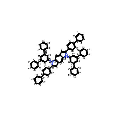 c1ccc(-c2ccc(-c3cc4cc5c(cc(-c6ccc(-c7ccccc7)cc6)n5-c5cc(-c6ccccc6)cc(-c6ccccc6)c5)cc4n3-c3cc(-c4ccccc4)cc(-c4ccccc4)c3)cc2)cc1